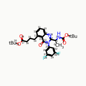 C[C@H](NC(=O)OC(C)(C)C)c1nc2cccc(CCCC(=O)OC(C)(C)C)c2c(=O)n1-c1cc(F)cc(F)c1